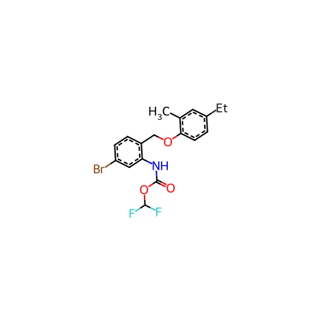 CCc1ccc(OCc2ccc(Br)cc2NC(=O)OC(F)F)c(C)c1